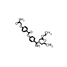 C=CCN(CC(=O)OCC)C(=N)c1ccc(OC(=O)c2ccc(OCC(N)=O)cc2)cc1